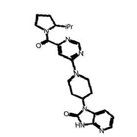 CC(C)C1CCCN1C(=O)c1cc(N2CCC(n3c(=O)[nH]c4ncccc43)CC2)ncn1